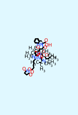 CC[C@H](C)[C@@H]([C@@H](CC(=O)N1CCC[C@H]1[C@H](OC)[C@@H](C)C(=O)N[C@@H](Cc1ccccc1)C(=O)O)OC)N(C)[C@H](C(=O)NC(=O)[C@H](C(C)C)N(C)CCCCCC(=O)ON1C(=O)CCC1=O)C(C)C